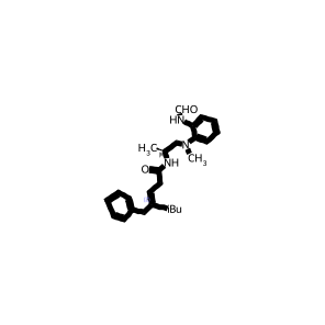 CCC(C)/C(=C\CC(=O)N[C@H](C)CN(C)c1ccccc1NC=O)Cc1ccccc1